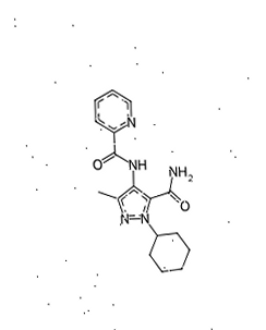 Cc1nn(C2CCCCC2)c(C(N)=O)c1NC(=O)c1ccccn1